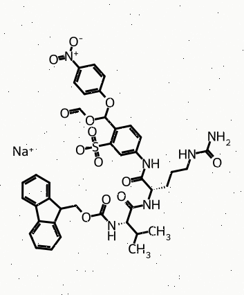 CC(C)[C@H](NC(=O)OCC1c2ccccc2-c2ccccc21)C(=O)N[C@@H](CCCNC(N)=O)C(=O)Nc1ccc(C(OC=O)Oc2ccc([N+](=O)[O-])cc2)c(S(=O)(=O)[O-])c1.[Na+]